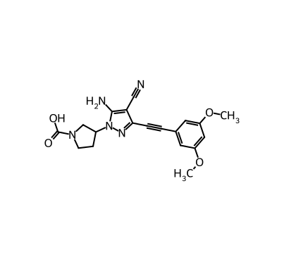 COc1cc(C#Cc2nn(C3CCN(C(=O)O)C3)c(N)c2C#N)cc(OC)c1